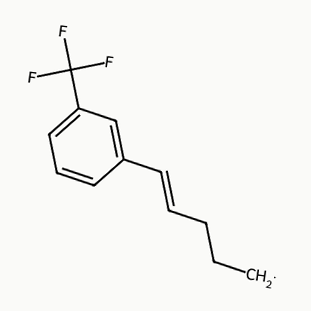 [CH2]CC/C=C/c1cccc(C(F)(F)F)c1